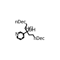 CCCCCCCCCCCCC(O)(CCCCCCCCCCCC)c1cccnc1.Cl